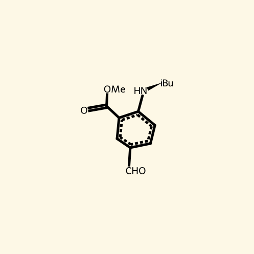 CC[C@H](C)Nc1ccc(C=O)cc1C(=O)OC